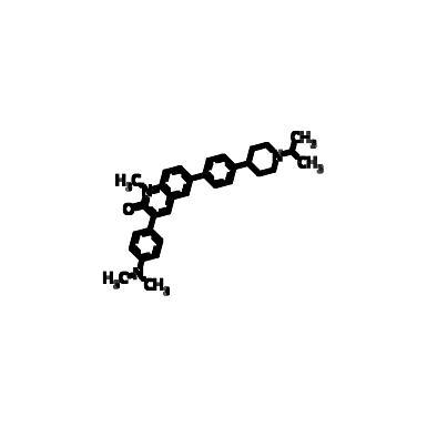 CC(C)N1CCC(c2ccc(-c3ccc4c(c3)cc(-c3ccc(N(C)C)cc3)c(=O)n4C)cc2)CC1